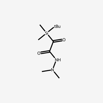 CN(C)NC(=O)C(=O)[Si](C)(C)C(C)(C)C